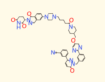 N#Cc1cccc(-c2ccc(=O)n(Cc3cccc(-c4ncc(OCC5CCN(C(=O)CCCCN6CCN(c7ccc8c(=O)n(C9CCC(=O)NC9=O)ncc8c7)CC6)CC5)cn4)c3)n2)c1